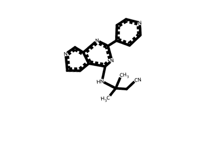 CC(C)(CC#N)Nc1nc(-c2ccncc2)nc2cnccc12